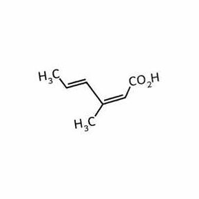 CC=CC(C)=CC(=O)O